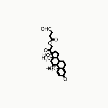 C[C@]12C=CC(=O)C=C1CCC1C2[C@@H](O)C[C@@]2(C)C1CC[C@]2(O)C(=O)COC(=O)CCC=O